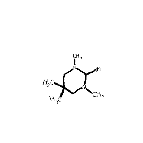 CC(C)C1N(C)CC(C)(C)CN1C